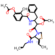 C=CCNC(=O)C1/C(=C/C)SCN1C(=O)C(OC(C)=O)C(Cc1ccccc1)NC(=O)c1cccc(OC(C)=O)c1C